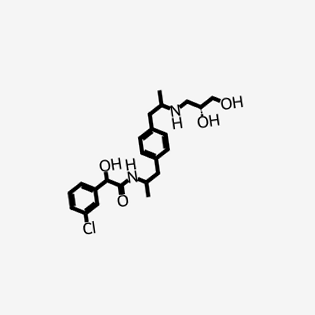 CC(Cc1ccc(CC(C)NC(=O)C(O)c2cccc(Cl)c2)cc1)NC[C@@H](O)CO